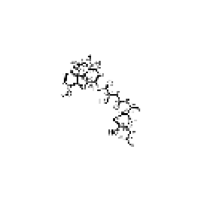 COc1ccc2c3c1O[C@@H]1C(OC(=O)[C@@H](O)CC(=O)O[C@@H](C)C(=O)N[C@@H](CC(C)C)C(=O)O)=CC[C@]4(O)[C@@H](CCC[C@@]314)C2